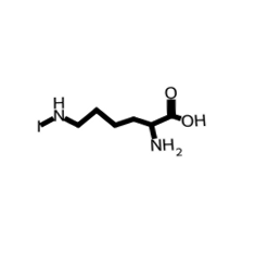 NC(CCCCNI)C(=O)O